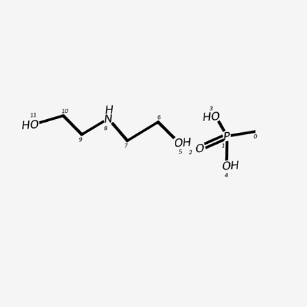 CP(=O)(O)O.OCCNCCO